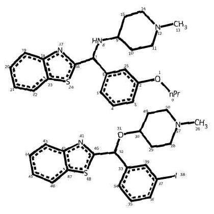 CCCOc1cccc(C(NC2CCN(C)CC2)c2nc3ccccc3s2)c1.CN1CCC(OC(c2cccc(I)c2)c2nc3ccccc3s2)CC1